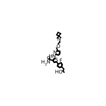 CC(O)Cc1ccc(-c2cc(C(N)=O)c(Nc3cccc(COCCN4CC5(CCC5)C4)n3)s2)c(F)c1